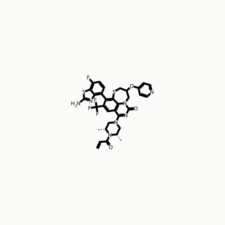 C=CC(=O)N1[C@H](C)CN(c2nc(=O)n3c4c(c(-c5ccc(F)c6sc(N)nc56)c(C(F)(F)F)cc24)SCC(Oc2ccncc2)C3)C[C@@H]1C